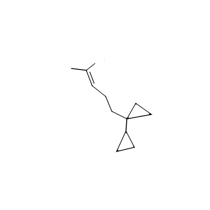 CC(C)=CCCC1(C2CC2)CC1